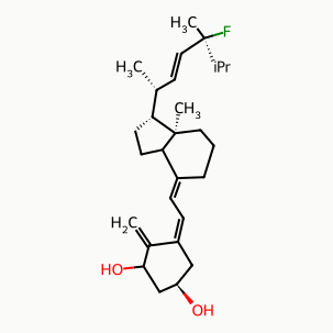 C=C1C(=CC=C2CCC[C@@]3(C)C2CC[C@@H]3[C@H](C)/C=C/[C@@](C)(F)C(C)C)C[C@@H](O)CC1O